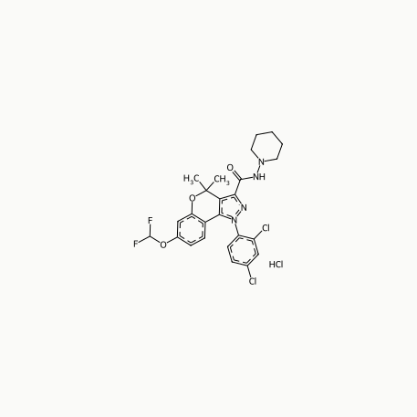 CC1(C)Oc2cc(OC(F)F)ccc2-c2c1c(C(=O)NN1CCCCC1)nn2-c1ccc(Cl)cc1Cl.Cl